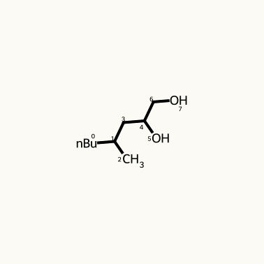 CCCCC(C)CC(O)CO